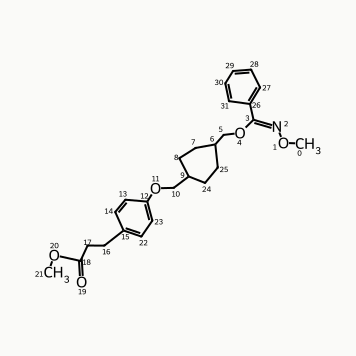 CO/N=C(\OCC1CCC(COc2ccc(CCC(=O)OC)cc2)CC1)c1ccccc1